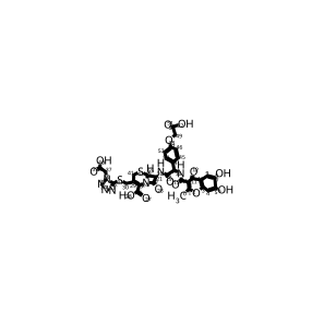 Cc1oc2cc(O)c(O)cc2c(=O)c1C(=O)NC(C(=O)N[C@@H]1C(=O)N2C(C(=O)O)=C(CSc3nnnn3CC(=O)O)CS[C@@H]12)c1ccc(OCC(=O)O)cc1